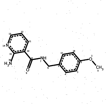 COc1ccc(CNC(=O)c2cccnc2N)cc1